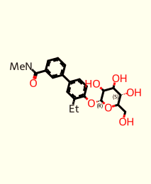 CCc1cc(-c2cccc(C(=O)NC)c2)ccc1O[C@H]1OC(CO)[C@@H](O)C(O)C1O